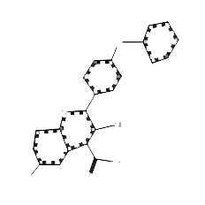 Nc1c(-c2ccc(Sc3ccccc3)cc2)nc2ccc(F)cc2c1C(=O)O